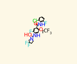 C[C@H](Oc1cc(NC(O)N2CCC(F)(F)C2)c(F)cc1C(=O)Nc1c(F)cccc1Cl)C(F)(F)F